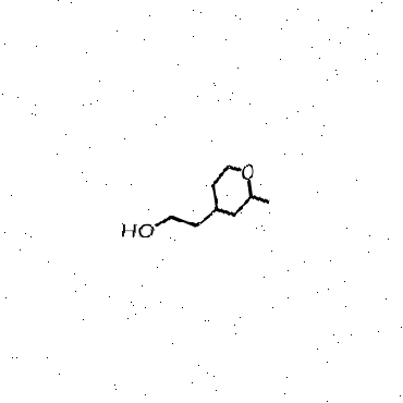 CC1CC(CCO)CCO1